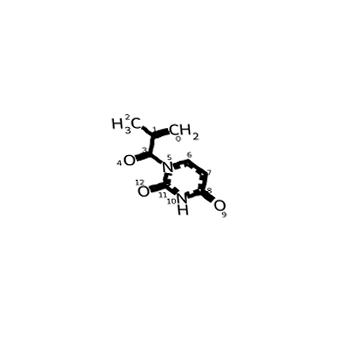 C=C(C)C(=O)n1ccc(=O)[nH]c1=O